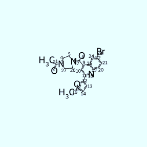 CC(=O)N1CCN(C(=O)c2cc(-c3ccc(C)o3)nc3ccc(Br)cc23)CC1